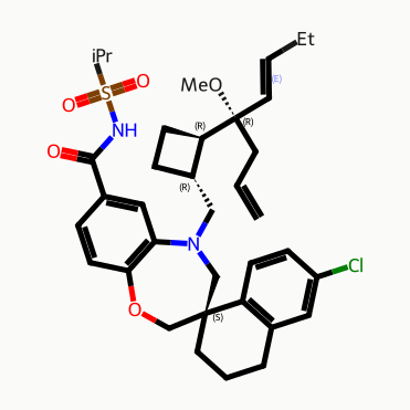 C=CC[C@@](/C=C/CC)(OC)[C@@H]1CC[C@H]1CN1C[C@@]2(CCCc3cc(Cl)ccc32)COc2ccc(C(=O)NS(=O)(=O)C(C)C)cc21